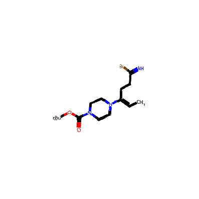 C/C=C(\CCC(=N)Br)N1CCN(C(=O)OC(C)(C)C)CC1